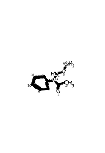 CC(=O)N(NO[SiH3])c1ccccc1